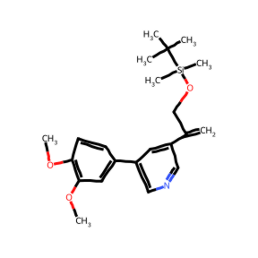 C=C(CO[Si](C)(C)C(C)(C)C)c1cncc(-c2ccc(OC)c(OC)c2)c1